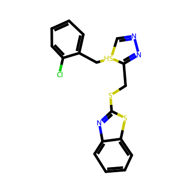 Clc1ccccc1C[SH]1C=NN=C1CSc1nc2ccccc2s1